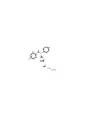 CCCCN(C)C(=O)Oc1csc(N(C(=O)c2ccc(Cl)cc2Cl)c2ccc(Cl)cc2)n1